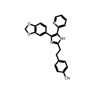 N#Cc1ccc(CCc2nc(-c3ccc4c(c3)OCO4)c(-c3ccccn3)[nH]2)cc1